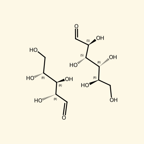 O=C[C@@H](O)[C@@H](O)[C@H](O)[C@H](O)CO.O=C[C@H](O)[C@H](O)[C@H](O)CO